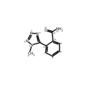 Cn1nnnc1-c1ccccc1C(N)=O